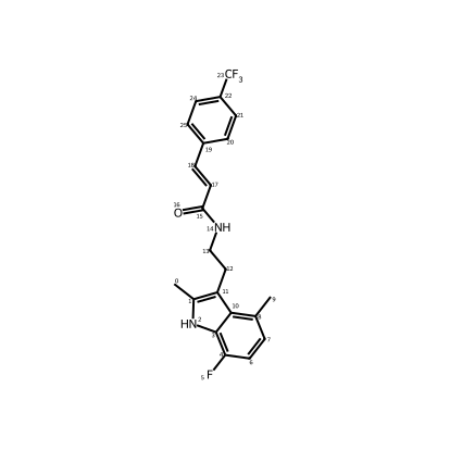 Cc1[nH]c2c(F)ccc(C)c2c1CCNC(=O)C=Cc1ccc(C(F)(F)F)cc1